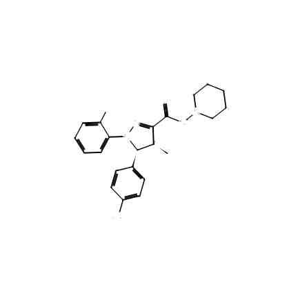 C[C@@H]1C(C(=O)NN2CCCCC2)=NN(c2ccccc2Cl)[C@@H]1c1ccc(Br)cc1